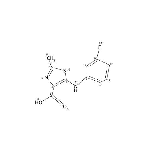 Cc1nc(C(=O)O)c(Nc2cccc(F)c2)s1